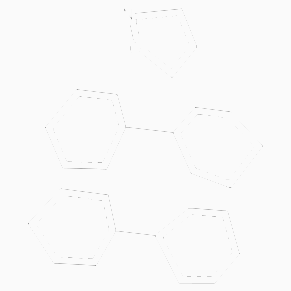 c1ccc(-c2ccccc2)cc1.c1ccc(-c2ccccc2)cc1.c1cnoc1